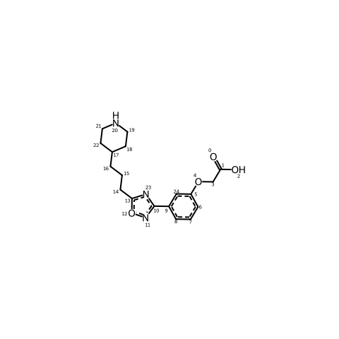 O=C(O)COc1cccc(-c2noc(CCCC3CCNCC3)n2)c1